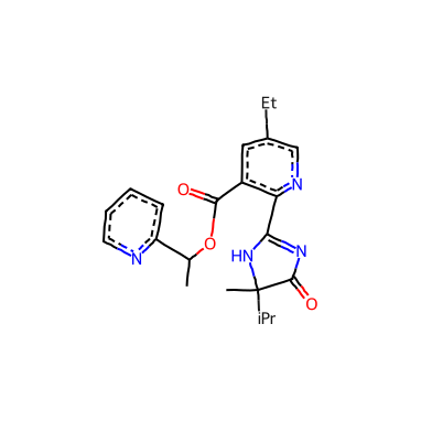 CCc1cnc(C2=NC(=O)C(C)(C(C)C)N2)c(C(=O)OC(C)c2ccccn2)c1